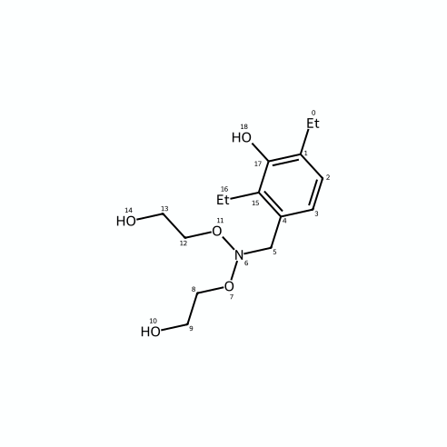 CCc1ccc(CN(OCCO)OCCO)c(CC)c1O